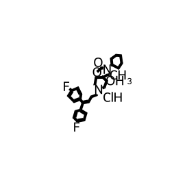 CC1(O)N(C2CCCCC2)C(=O)OC12CCN(CCC=C(c1ccc(F)cc1)c1ccc(F)cc1)CC2.Cl